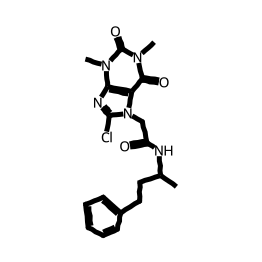 CC(CCc1ccccc1)NC(=O)Cn1c(Cl)nc2c1c(=O)n(C)c(=O)n2C